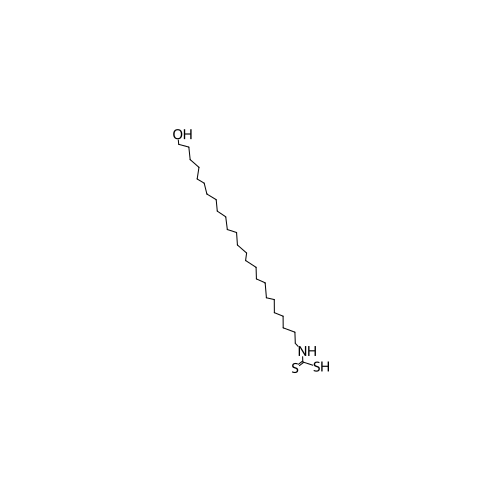 OCCCCCCCCCCCCCCCCCCCCCCCCCNC(=S)S